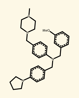 COc1cccc(CN(Cc2ccc(N3CCCC3)cc2)c2ccc(CN3CCN(C)CC3)cc2)c1